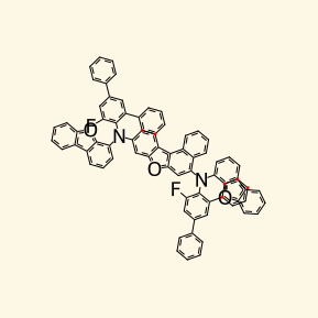 Fc1cc(-c2ccccc2)cc(-c2ccccc2)c1N(c1ccc2c(c1)oc1cc(N(c3c(F)cc(-c4ccccc4)cc3-c3ccccc3)c3cccc4c3oc3ccccc34)c3ccccc3c12)c1cccc2c1oc1ccccc12